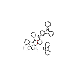 CC1(C)c2ccccc2-c2c(-c3ccccc3N(c3cccc(-c4cccc5c4oc4ccccc45)c3)c3ccc4c(c3)c3ccccc3n4-c3ccccc3)cccc21